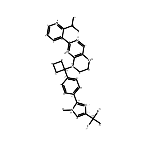 CC(C)c1ncccc1-c1ncc2c(n1)N(C1(c3ccc(-c4nc(C(C)(F)F)cn4C)cc3)CCC1)CCO2